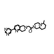 CC1CCCC2CN(C(=O)CN3CCc4nc(-c5cncnc5)ccc4C3)CCN12